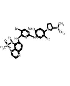 CCc1cc(Nc2ncc(Br)c(Nc3ccc4nccnc4c3N(CC)S(C)(=O)=O)n2)c(OC)cc1N1CCC(N(C)C)C1